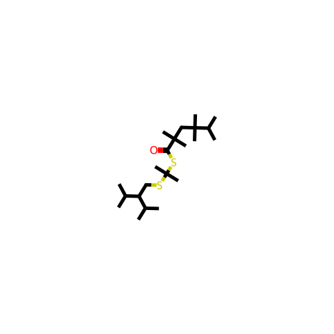 CC(C)C(CSC(C)(C)SC(=O)C(C)(C)CC(C)(C)C(C)C)C(C)C